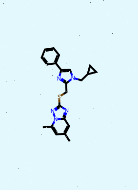 Cc1cc(C)n2nc(SCc3nc(-c4ccccc4)cn3CC3CC3)nc2c1